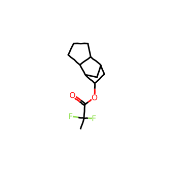 CC(F)(F)C(=O)OC1CC2CC1C1CCCC21